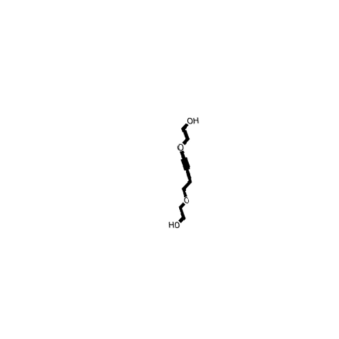 OCCOC#CCCOCCO